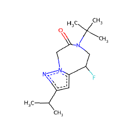 CC(C)c1cc2n(n1)CC(=O)N(C(C)(C)C)CC2F